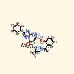 C=C(NCC1(COC)CC1)c1ccccc1OCc1cc(=O)n2nc(-c3ccccc3)nc2[nH]1